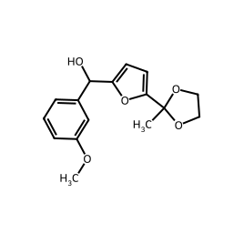 COc1cccc(C(O)c2ccc(C3(C)OCCO3)o2)c1